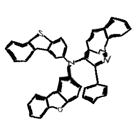 c1ccc(-c2nn3c(ccc4ccccc43)c2N(c2ccc3oc4ccccc4c3c2)c2ccc3sc4ccccc4c3c2)cc1